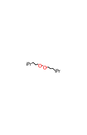 CC(C)CCCOCOCCCC(C)C